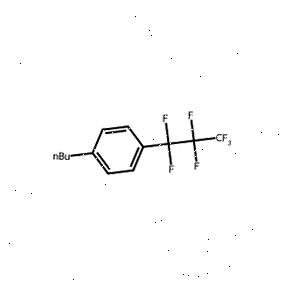 CCCCc1ccc(C(F)(F)C(F)(F)C(F)(F)F)cc1